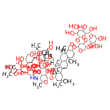 CC[C@H](C)[C@H](C[C@H](O)CC(=O)N[C@H]1C(C)O[C@@H](OC(=O)[C@]23CCC(C)(C)CC2C2=CCC4C5(C)CC[C@H](O[C@@H]6OC[C@@H](O)[C@H](O[C@@H]7OC[C@@H](O)[C@H](O)C7O)C6O[C@@H]6OC(CO)[C@H](O)[C@H](O)C6O)[C@](C)(C=O)[C@@H]5CC[C@]4(C)[C@]2(C)CC3O)C(O[C@@H]2OC(C)[C@H](O[C@@H]3OC[C@@H](O)C(O[C@@H]4OC[C@@H](O)C(O)C4O)C3O)C(O)C2O)C1O)OC(=O)C[C@@H](O)C[C@H](OC1(O)CO[C@H](CO)C1O)[C@@H](C)CC